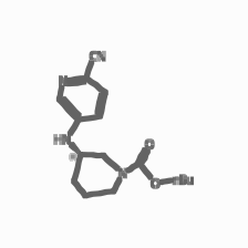 CCCCOC(=O)N1CCC[C@@H](Nc2ccc(C#N)nc2)C1